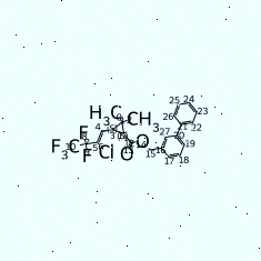 CC1(C)[C@H](C=C(Cl)C(F)(F)C(F)(F)F)[C@@H]1C(=O)OCc1cccc(-c2ccccc2)c1